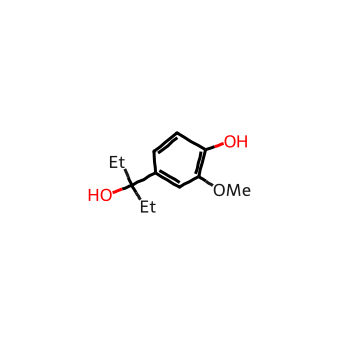 CCC(O)(CC)c1ccc(O)c(OC)c1